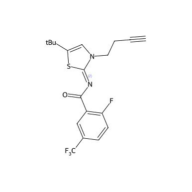 C#CCCn1cc(C(C)(C)C)s/c1=N\C(=O)c1cc(C(F)(F)F)ccc1F